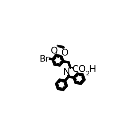 O=C(O)[C@H](Cc1ccc(Br)c2c1OCCO2)N=C(c1ccccc1)c1ccccc1